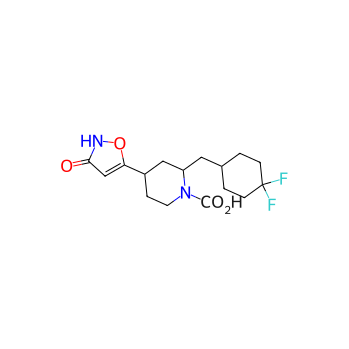 O=C(O)N1CCC(c2cc(=O)[nH]o2)CC1CC1CCC(F)(F)CC1